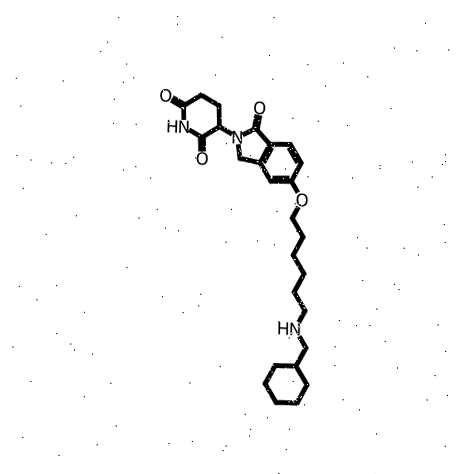 O=C1CCC(N2Cc3cc(OCCCCCCNCC4CCCCC4)ccc3C2=O)C(=O)N1